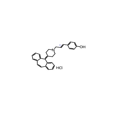 Cl.Oc1ccc(/C=C/CN2CCC(=C3c4ccccc4C=Cc4ccccc43)CC2)cc1